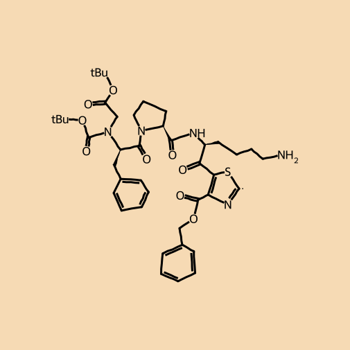 CC(C)(C)OC(=O)CN(C(=O)OC(C)(C)C)[C@H](Cc1ccccc1)C(=O)N1CCC[C@H]1C(=O)N[C@@H](CCCCN)C(=O)c1s[c]nc1C(=O)OCc1ccccc1